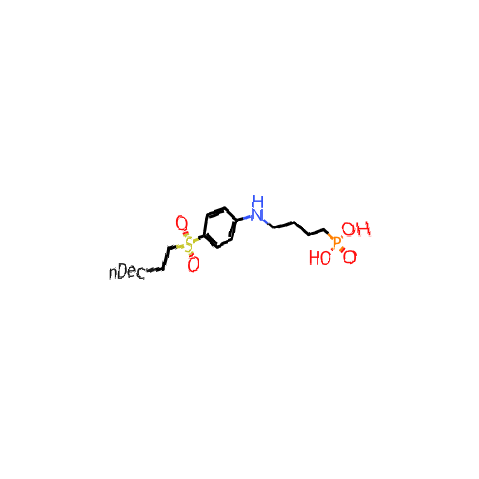 CCCCCCCCCCCCS(=O)(=O)c1ccc(NCCCCP(=O)(O)O)cc1